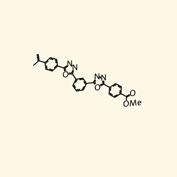 C=C(C)c1ccc(-c2nnc(-c3cccc(-c4nnc(-c5ccc(C(=O)OC)cc5)o4)c3)o2)cc1